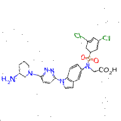 NC1CCCN(c2ccc(-n3ccc4cc(N(CC(=O)O)S(=O)(=O)C5C=C(Cl)C=C(Cl)C5)ccc43)nn2)C1